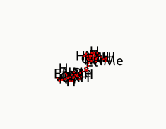 CC[C@H](NC)C(=O)N[C@@H]1C(=O)N2C(C(=O)NC(C(=O)NCCCCC3CCC(CCCCNC(=O)C(NC(=O)[C@@H]4CC[C@@H]5CC[C@H](CCNCc6ccccc6)[C@H](NC(=O)[C@H](CC)NC)C(=O)N54)(c4ccccc4)c4ccccc4)CC3)(c3ccccc3)c3ccccc3)CC[C@@H]2CC[C@@H]1CCNCc1ccccc1